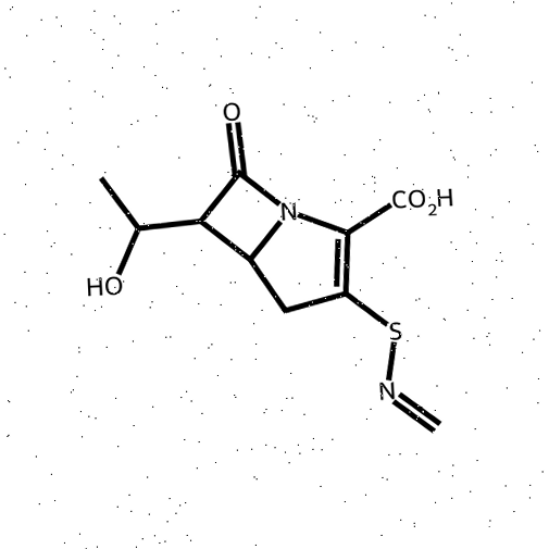 C=NSC1=C(C(=O)O)N2C(=O)C(C(C)O)C2C1